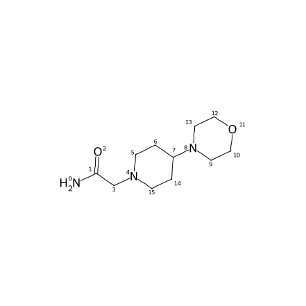 NC(=O)CN1CCC(N2CCOCC2)CC1